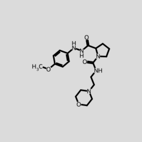 COc1ccc(NNC(=O)C2CCCN2C(=O)NCCN2CCOCC2)cc1